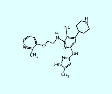 [C-]#[N+]c1c(C2CCNCC2)cc(Nc2cc(C)[nH]n2)nc1NCCOc1cccnc1C